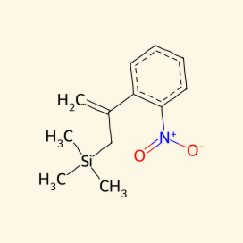 C=C(C[Si](C)(C)C)c1ccccc1[N+](=O)[O-]